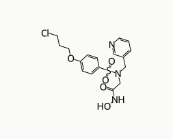 O=C(CN(Cc1cccnc1)S(=O)(=O)c1ccc(OCCCCl)cc1)NO